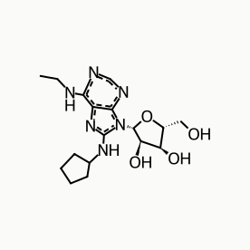 CCNc1ncnc2c1nc(NC1CCCC1)n2[C@@H]1O[C@H](CO)[C@@H](O)[C@H]1O